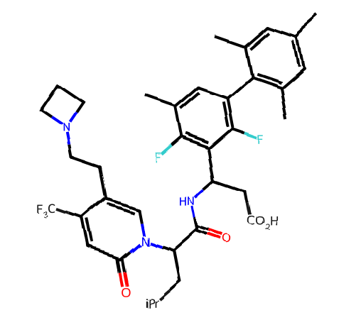 Cc1cc(C)c(-c2cc(C)c(F)c(C(CC(=O)O)NC(=O)C(CC(C)C)n3cc(CCN4CCC4)c(C(F)(F)F)cc3=O)c2F)c(C)c1